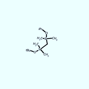 CC(C)O[Si](C)(C)C[Si](C)(C)OC(C)(C)C